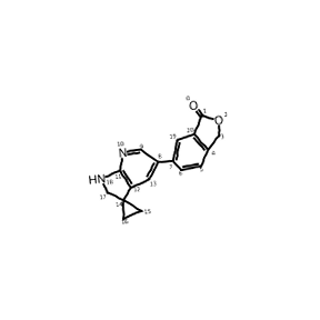 O=C1OCc2ccc(-c3cnc4c(c3)C3(CC3)CN4)cc21